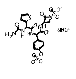 NC(=O)NC(C(=O)NC(C(=O)NC1CN(S(=O)(=O)[O-])C1=O)c1ccc(OS(=O)(=O)[O-])cc1)c1cccs1.[Na+].[Na+]